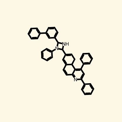 C1=Cc2nc(-c3ccccc3)cc(-c3ccccc3)c2C2CC=C(C3NC(c4cccc(-c5ccccc5)c4)N3c3ccccc3)C=C12